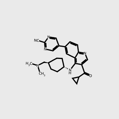 CN(C)C[C@H]1CC[C@H](Nc2c(C(=O)C3CC3)cnc3ccc(-c4cnc(C#N)nc4)cc23)CC1